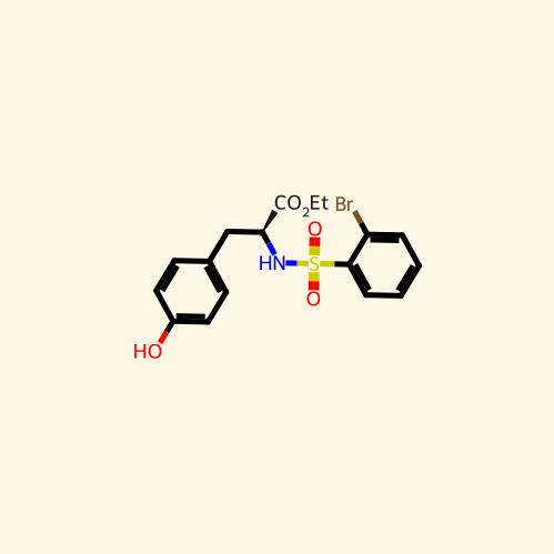 CCOC(=O)[C@H](Cc1ccc(O)cc1)NS(=O)(=O)c1ccccc1Br